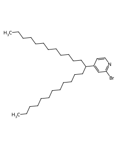 CCCCCCCCCCCCC(CCCCCCCCCCCC)c1ccnc(Br)c1